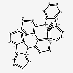 N#Cc1cccc(-n2c3ccccc3c3ccccc32)c1-c1ccncc1-n1c2ccccc2c2ccccc21